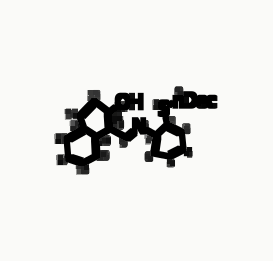 CCCCCCCCCCSc1ccccc1N=Cc1c(O)ccc2ccccc12